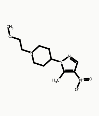 COCCN1CCC(n2ncc([N+](=O)[O-])c2C)CC1